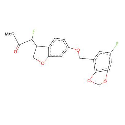 COC(=O)C(F)C1COc2cc(OCc3cc(F)cc4c3OCO4)ccc21